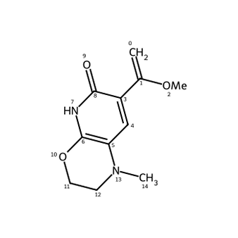 C=C(OC)c1cc2c([nH]c1=O)OCCN2C